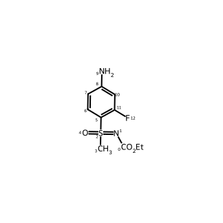 CCOC(=O)N=S(C)(=O)c1ccc(N)cc1F